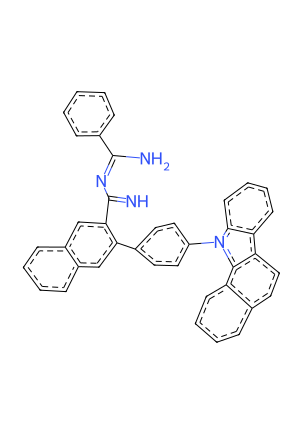 N=C(/N=C(\N)c1ccccc1)c1cc2ccccc2cc1-c1ccc(-n2c3ccccc3c3ccc4ccccc4c32)cc1